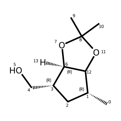 C[C@@H]1C[C@H](CO)[C@H]2OC(C)(C)OC12